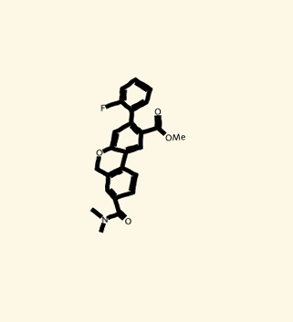 COC(=O)c1cc2c(cc1-c1ccccc1F)OCc1cc(C(=O)N(C)C)ccc1-2